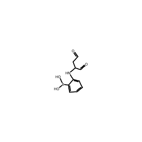 O=CCC(C=O)Nc1ccccc1B(O)O